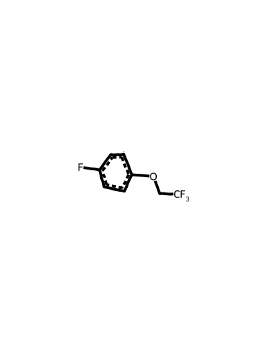 Fc1c[c]c(OCC(F)(F)F)cc1